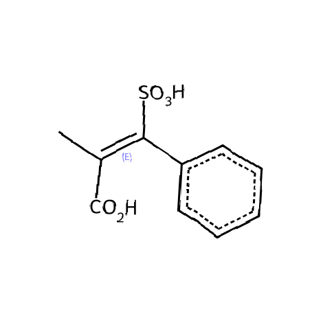 C/C(C(=O)O)=C(/c1ccccc1)S(=O)(=O)O